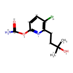 CC(C)(O)CCc1nc(OC(N)=O)ccc1Br